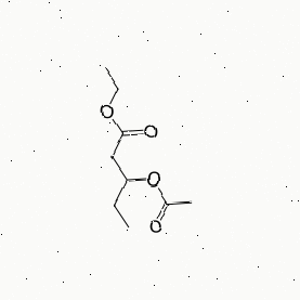 CCOC(=O)CC(CC)OC(C)=O